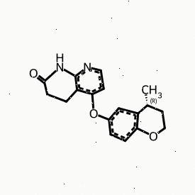 C[C@@H]1CCOc2ccc(Oc3ccnc4c3CCC(=O)N4)cc21